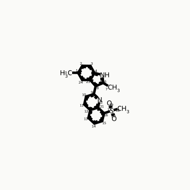 Cc1ccc2[nH]c(C)c(-c3ccc4cccc(S(C)(=O)=O)c4n3)c2c1